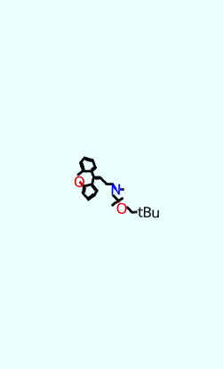 CN(CC/C=C1/c2ccccc2COc2ccccc21)CC(C)(C)OCCC(C)(C)C